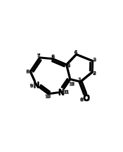 O=C1C=CCC2=CC=CN=CN=C12